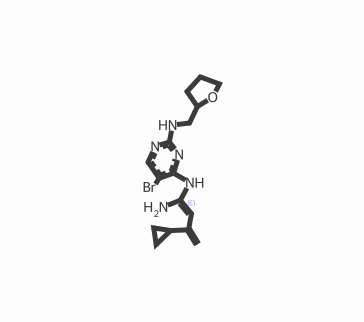 C=C(/C=C(\N)Nc1nc(NCC2CCCO2)ncc1Br)C1CC1